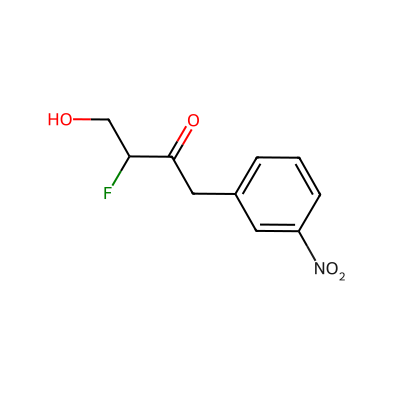 O=C(Cc1cccc([N+](=O)[O-])c1)C(F)CO